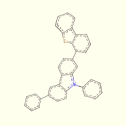 c1ccc(-c2ccc3c(c2)c2ccc(-c4cccc5c4sc4ccccc45)cc2n3-c2ccccc2)cc1